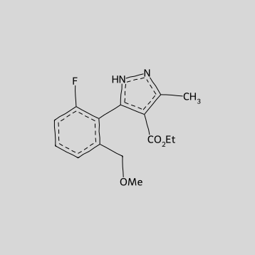 CCOC(=O)c1c(C)n[nH]c1-c1c(F)cccc1COC